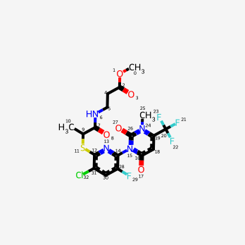 COC(=O)CCNC(=O)C(C)Sc1nc(-n2c(=O)cc(C(F)(F)F)n(C)c2=O)c(F)cc1Cl